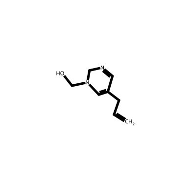 C=CCC1=CN(CO)CN=C1